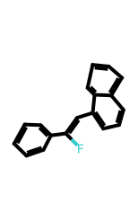 FC(=Cc1cccc2ccccc12)c1ccccc1